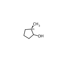 C[C@@H]1CCCC1O